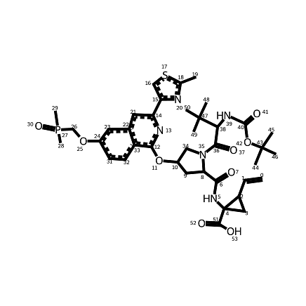 C=CC1CC1(NC(=O)C1CC(Oc2nc(-c3csc(C)n3)cc3cc(OCP(C)(C)=O)ccc23)CN1C(=O)C(NC(=O)OC(C)(C)C)C(C)(C)C)C(=O)O